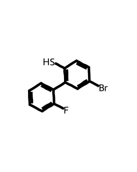 Fc1ccccc1-c1cc(Br)ccc1S